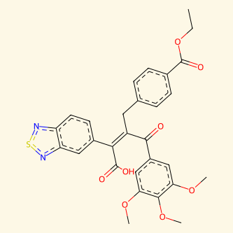 CCOC(=O)c1ccc(CC(C(=O)c2cc(OC)c(OC)c(OC)c2)=C(C(=O)O)c2ccc3nsnc3c2)cc1